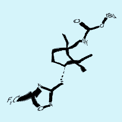 CC(C)(C)OC(=O)N[C@@]1(C)CC[C@@H](Cc2noc(C(F)(F)F)n2)C1(C)C